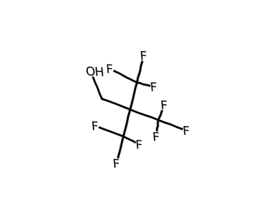 OCC(C(F)(F)F)(C(F)(F)F)C(F)(F)F